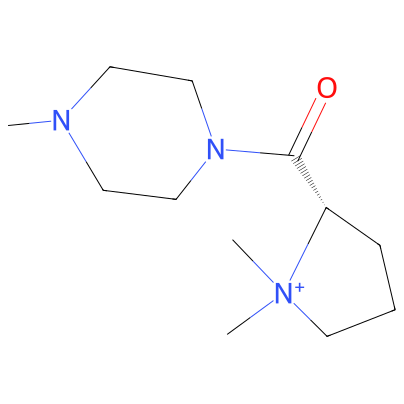 CN1CCN(C(=O)[C@@H]2CCC[N+]2(C)C)CC1